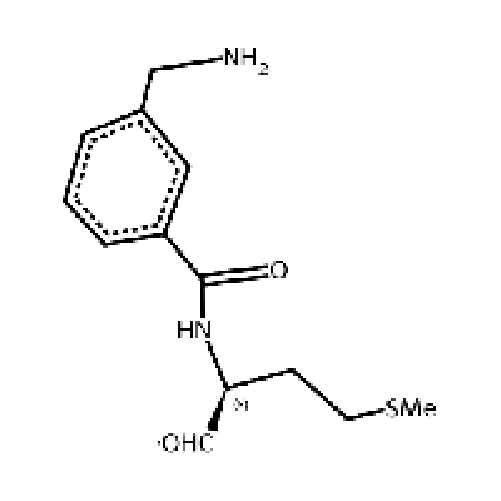 CSCC[C@@H]([C]=O)NC(=O)c1cccc(CN)c1